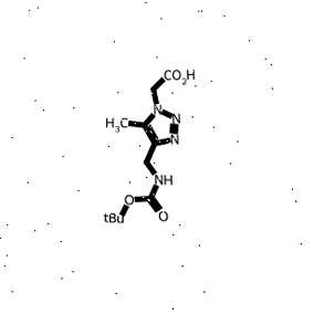 Cc1c(CNC(=O)OC(C)(C)C)nnn1CC(=O)O